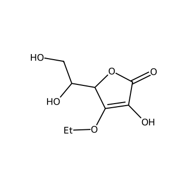 CCOC1=C(O)C(=O)OC1C(O)CO